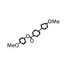 COc1ccc(OC(=O)c2ccc(-c3ccc(OC)cc3)cc2)cc1